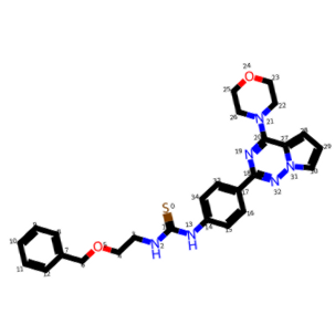 S=C(NCCOCc1ccccc1)Nc1ccc(-c2nc(N3CCOCC3)c3cccn3n2)cc1